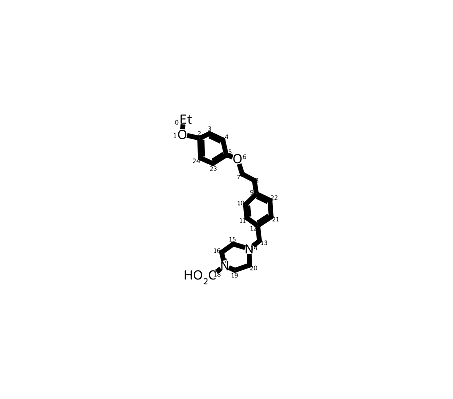 CCOc1ccc(OCCc2ccc(CN3CCN(C(=O)O)CC3)cc2)cc1